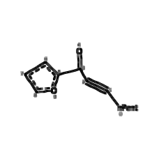 CCCCCC#CC(=O)c1ccco1